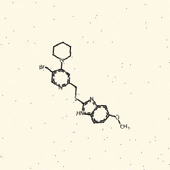 COc1ccc2[nH]c(SCc3cc(N4CCCCC4)c(Br)cn3)nc2c1